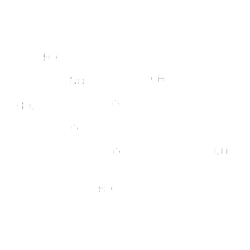 C=C1CC(C)CC(CC)(OC(=O)OC(C)NC)C1